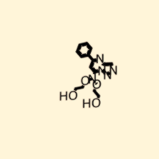 OCCON(OCCO)c1cc(-c2ccccc2)nc2cnnn12